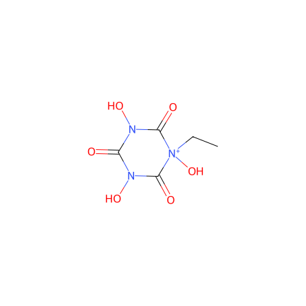 CC[N+]1(O)C(=O)N(O)C(=O)N(O)C1=O